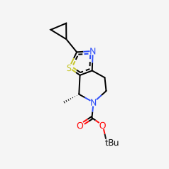 C[C@@H]1c2sc(C3CC3)nc2CCN1C(=O)OC(C)(C)C